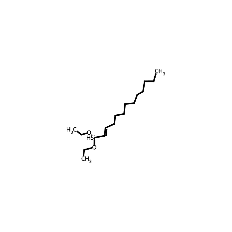 CCCCCCCCCCC=C[SiH](OCC)OCC